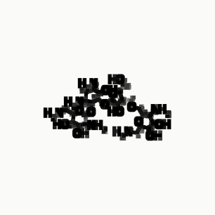 NCC1OC(COC[C@@H]2C(O)[C@H](OC3C(O)C(N)CC(N)C3OC3OC(CN)C(O)C(O)C3N)O[C@@H]2CO)C(N)C(O)C1O